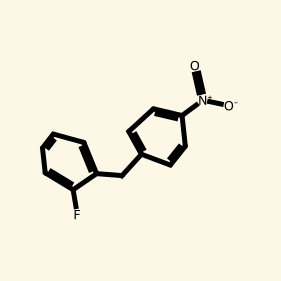 O=[N+]([O-])c1ccc([CH]c2ccccc2F)cc1